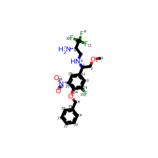 COCC(NC[C@H](N)C(F)(F)F)c1cc(F)c(OCc2ccccc2)c([N+](=O)[O-])c1